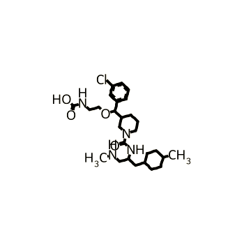 CNCC(CC1CCC(C)CC1)NC(=O)N1CCCC(C(OCCNC(=O)O)c2cccc(Cl)c2)C1